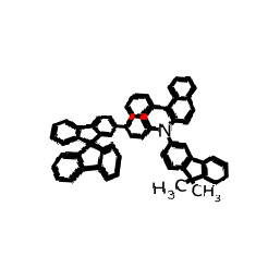 CC1(C)C2=C(C=CCC2)c2cc(N(c3ccc(-c4ccc5c(c4)C4(c6ccccc6-c6ccccc64)c4ccccc4-5)cc3)c3ccc4ccccc4c3-c3ccccc3)ccc21